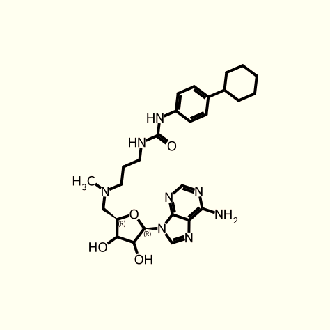 CN(CCCNC(=O)Nc1ccc(C2CCCCC2)cc1)C[C@H]1O[C@@H](n2cnc3c(N)ncnc32)C(O)C1O